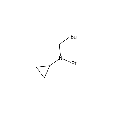 CCC(C)CN(CC)C1CC1